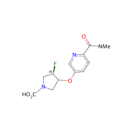 CNC(=O)c1ccc(OC2CN(C(=O)O)C[C@H]2F)cn1